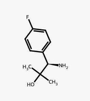 CC(C)(O)[C@H](N)c1ccc(F)cc1